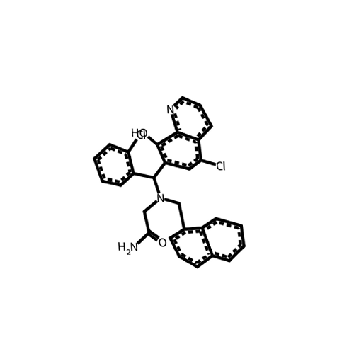 NC(=O)CN(Cc1cccc2ccccc12)C(c1ccccc1Cl)c1cc(Cl)c2cccnc2c1O